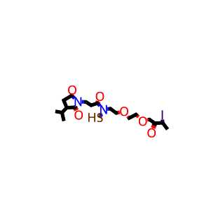 CC(I)C(=O)COCCOCCN(S)C(=O)CCN1C(=O)CC(C(C)C)C1=O